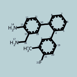 Cc1cc(-c2ccccc2-c2ccc(N)c(CN)c2)ccc1F